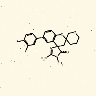 CN1C(=O)C2(CC3(CCCOC3)Oc3ccc(-c4ccc(F)c(F)c4)cc32)N=C1N